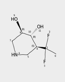 CC(F)(F)[C@H]1CNC[C@@H](O)[C@@H]1O